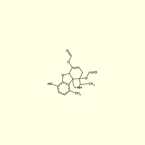 Cc1ccc(O)c2c1C13CCNC(C)C1(OC=O)CC=C(OC=O)C3O2